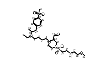 CCN(CCCCN1CCN(S(=O)(=O)CCNCCOC)CC1C=O)C(C)Cc1ccc(S(C)(=O)=O)cc1